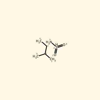 CCC(C)C.N[SH](=O)=O